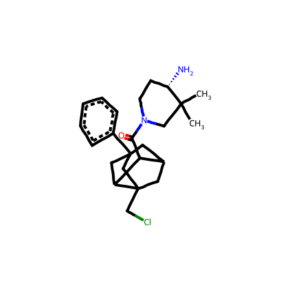 CC1(C)CN(C(=O)C2C3CC4(c5ccccc5)CC2C(CCl)(C3)C4)CC[C@@H]1N